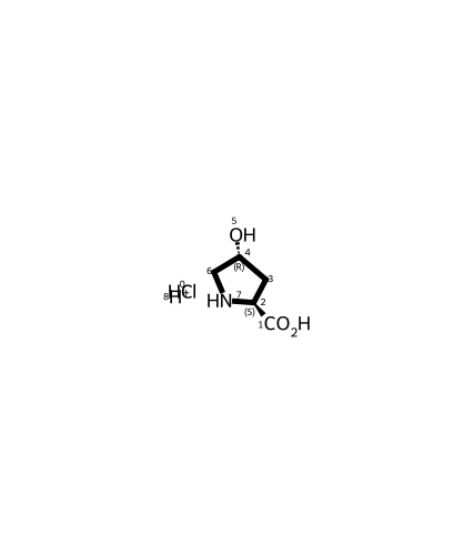 Cl.O=C(O)[C@@H]1C[C@@H](O)CN1.[H+]